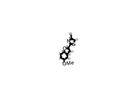 COc1ccc2oc(-c3nc(C)cs3)cc2c1